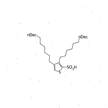 CCCCCCCCCCCCCCCCc1csc(S(=O)(=O)O)c1CCCCCCCCCCCCCCCC